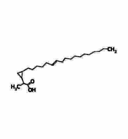 CCCCCCCCCCCC=CCCCCCC1CC1C(C)C(=O)O